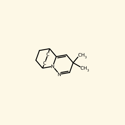 CC1(C)C=NN2C(=C1)C1CCC2CC1